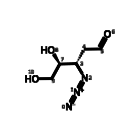 [N-]=[N+]=N[C@@H](CC=O)[C@H](O)CO